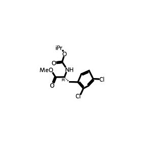 COC(=O)[C@@H](Cc1ccc(Cl)cc1Cl)NC(=O)OC(C)C